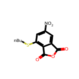 CCCCSc1cc([N+](=O)[O-])cc2c1C(=O)OC2=O